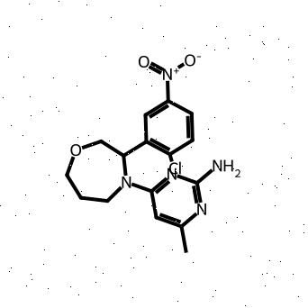 Cc1cc(N2CCCOCC2c2cc([N+](=O)[O-])ccc2Cl)nc(N)n1